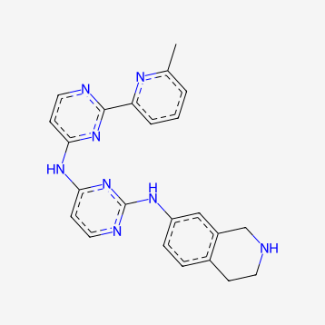 Cc1cccc(-c2nccc(Nc3ccnc(Nc4ccc5c(c4)CNCC5)n3)n2)n1